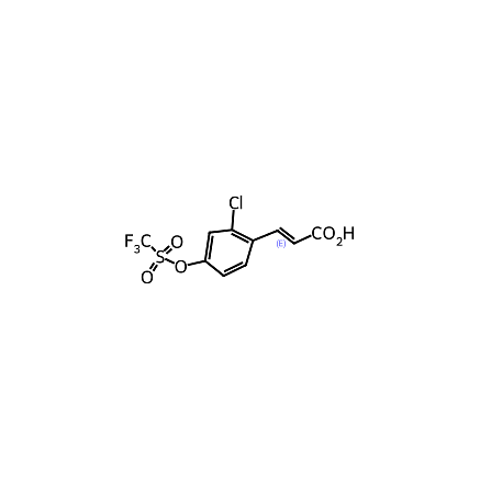 O=C(O)/C=C/c1ccc(OS(=O)(=O)C(F)(F)F)cc1Cl